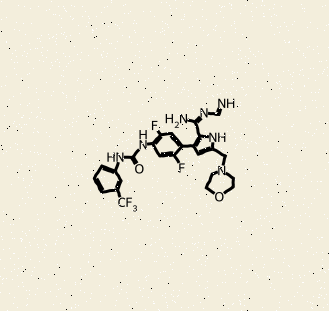 N=C/N=C(/N)c1[nH]c(CN2CCOCC2)cc1-c1cc(F)c(NC(=O)Nc2cccc(C(F)(F)F)c2)cc1F